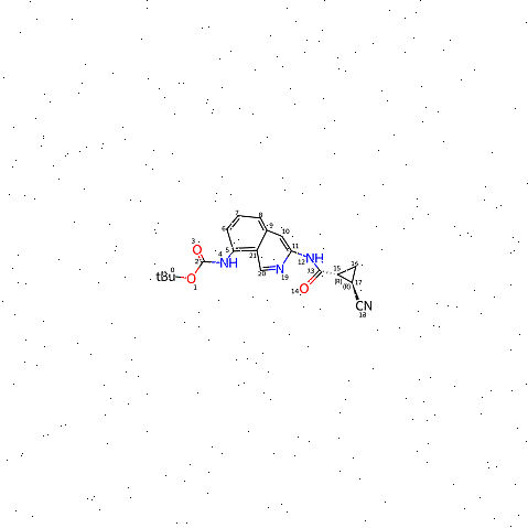 CC(C)(C)OC(=O)Nc1cccc2cc(NC(=O)[C@@H]3C[C@H]3C#N)ncc12